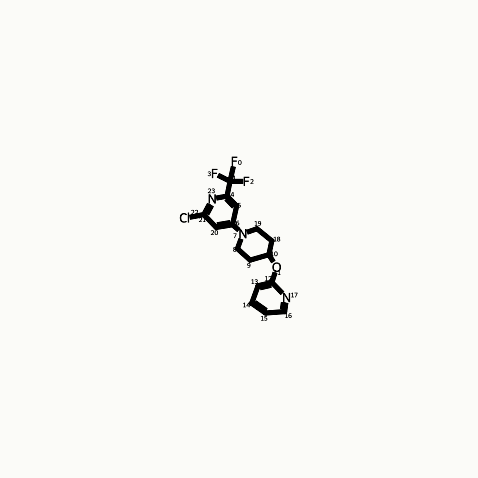 FC(F)(F)c1cc(N2CCC(Oc3ccccn3)CC2)cc(Cl)n1